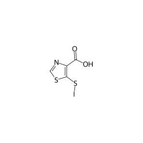 O=C(O)c1ncsc1SI